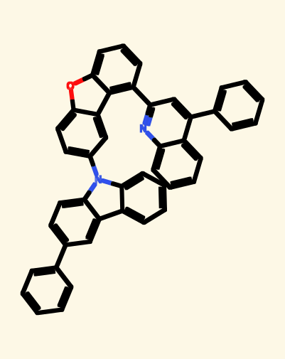 c1ccc(-c2ccc3c(c2)c2ccccc2n3-c2ccc3oc4cccc(-c5cc(-c6ccccc6)c6ccccc6n5)c4c3c2)cc1